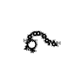 C=C1CCC(N2Cc3cc(N4CCC(CN5CCC6(CCN(Cc7ccc8c(c7)N7C[C@H](C)CCCCc9c(cnn9C)-c9cc(cc(C)n9)C(=C)/N=C/7N8)CC6)CC5)CC4)ccc3C2=C)C(=C)N1